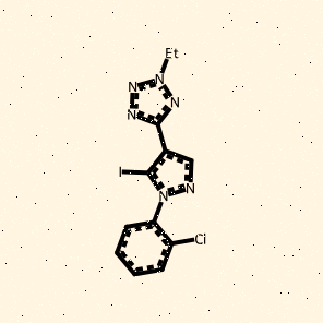 CCn1nnc(-c2cnn(-c3ccccc3Cl)c2I)n1